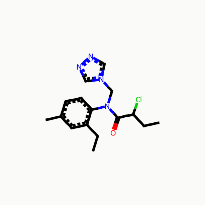 CCc1cc(C)ccc1N(Cn1cnnc1)C(=O)C(Cl)CC